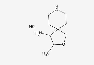 CC1OCC2(CCNCC2)C1N.Cl